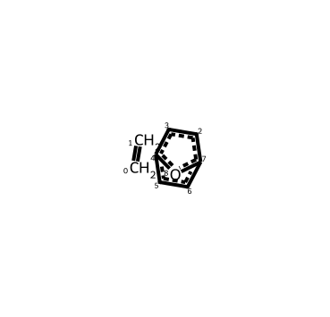 C=C.c1cc2ccc1o2